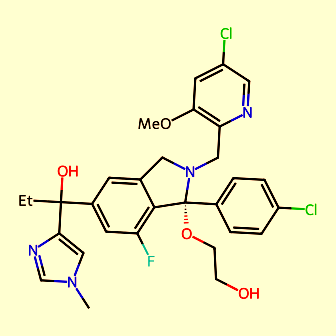 CCC(O)(c1cc(F)c2c(c1)CN(Cc1ncc(Cl)cc1OC)[C@@]2(OCCO)c1ccc(Cl)cc1)c1cn(C)cn1